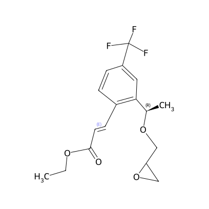 CCOC(=O)/C=C/c1ccc(C(F)(F)F)cc1[C@@H](C)OCC1CO1